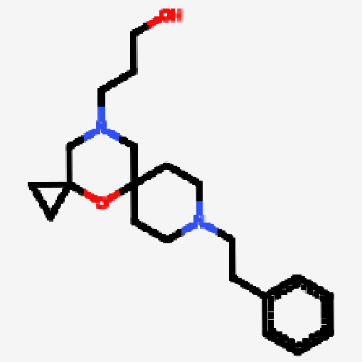 OCCCN1CC2(CCN(CCc3ccccc3)CC2)OC2(CC2)C1